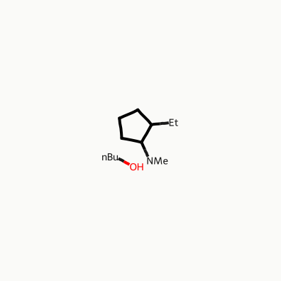 CCC1CCCC1NC.CCCCO